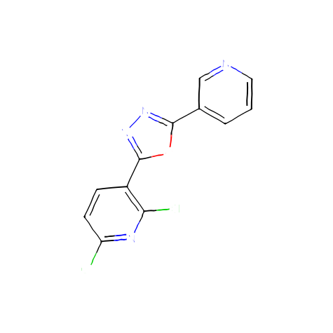 Clc1ccc(-c2nnc(-c3cccnc3)o2)c(Cl)n1